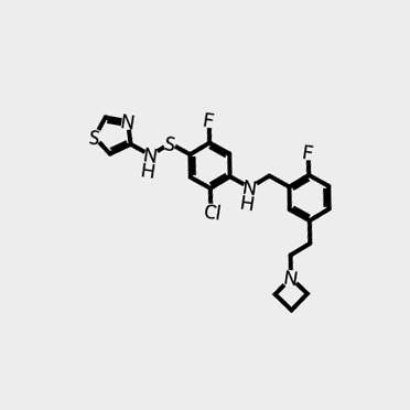 Fc1ccc(CCN2CCC2)cc1CNc1cc(F)c(SNc2cscn2)cc1Cl